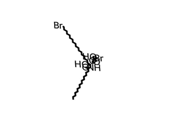 CCCCCCCCCCCCCCCC(=O)N[C@@H](COP(=O)(O)Br)[C@H](O)CCCCCCCCCCCCCCCCCBr